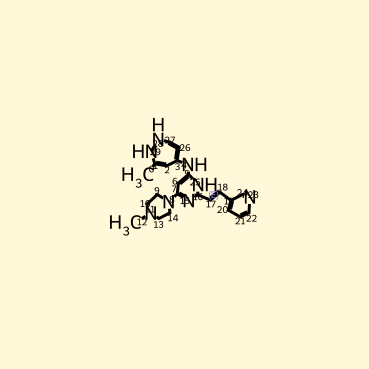 CC1=CC(NC2=CC(N3CCN(C)CC3)=NC(/C=C/c3cccnc3)N2)=C=CNN1